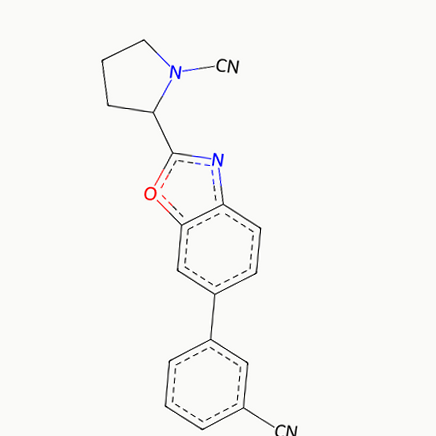 N#Cc1cccc(-c2ccc3nc(C4CCCN4C#N)oc3c2)c1